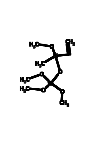 C=C[Si](C)(OC)O[Si](OC)(OC)OC